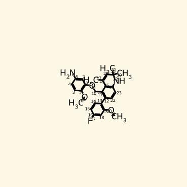 COc1ccc(N)cc1OCc1c(-c2ccc(F)cc2OC)ccc2c1C(C)=CC(C)(C)N2